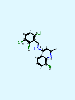 Cc1cc(NCc2c(Cl)ccc(Cl)c2F)c2cccc(Br)c2n1